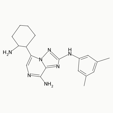 Cc1cc(C)cc(Nc2nc3c(N)ncc(C4CCCCC4N)n3n2)c1